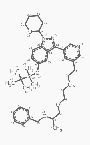 CC(COCCOCCc1cncc(-c2nn(C3CCCCO3)c3ccc(O[Si](C)(C)C(C)(C)C)cc23)c1)OCc1ccccc1